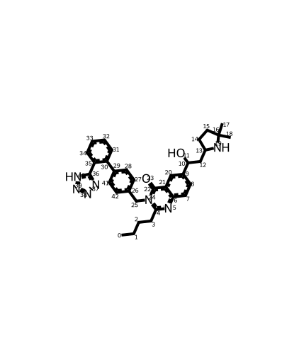 CCCCc1nc2ccc(C(O)CC3CCC(C)(C)N3)cc2c(=O)n1Cc1ccc(-c2ccccc2-c2nnn[nH]2)cc1